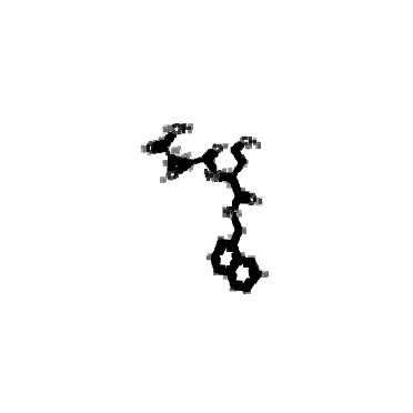 CCC[C@H](NC(=O)[C@H]1O[C@@H]1C(=O)O)C(=O)NCc1cccc2ccccc12